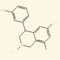 Cc1cc(Cl)c2c(c1)C(c1cccc(Br)c1)CN(C)C2